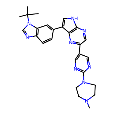 CN1CCN(c2ncc(-c3cnc4[nH]cc(-c5ccc6ncn(C(C)(C)C)c6c5)c4n3)cn2)CC1